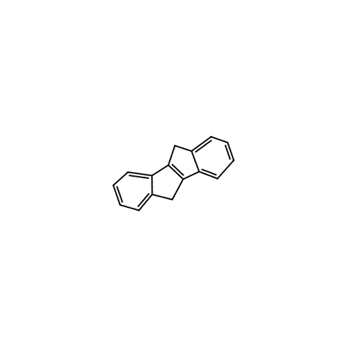 c1ccc2c(c1)CC1=C2Cc2ccccc21